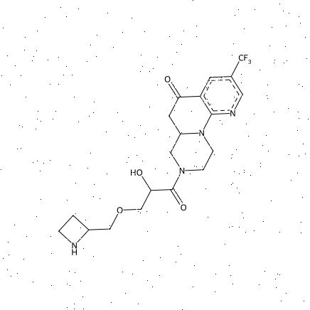 O=C1CC2CN(C(=O)C(O)COCC3CCN3)CCN2c2ncc(C(F)(F)F)cc21